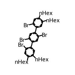 CCCCCCc1cc(Br)c(-c2cc(Br)c(-c3cc(CCCCCC)c(CCCCCC)cc3Br)cc2Br)cc1CCCCCC